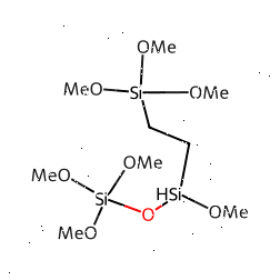 CO[SiH](CC[Si](OC)(OC)OC)O[Si](OC)(OC)OC